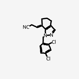 N#CC/C=C1\CCCc2cnn(Cc3ccc(Cl)cc3Cl)c21